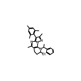 CCC1CCc2c(C)nc3c(-c4c(C)cc(C)cc4C)c(C)nn3c2N1C(C)c1ccccc1